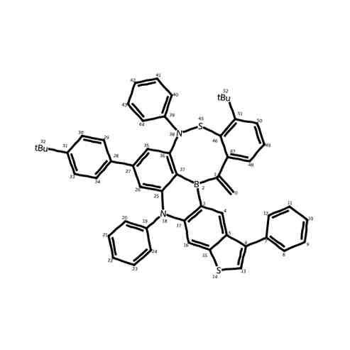 C=C1B2c3cc4c(-c5ccccc5)csc4cc3N(c3ccccc3)c3cc(-c4ccc(C(C)(C)C)cc4)cc(c32)N(c2ccccc2)Sc2c1cccc2C(C)(C)C